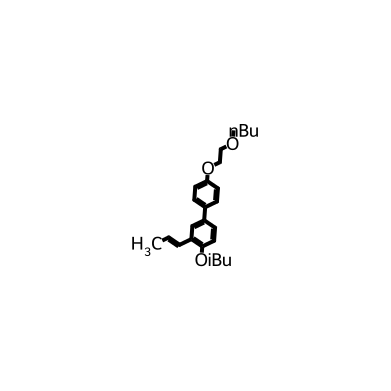 C/C=C/c1cc(-c2ccc(OCCOCCCC)cc2)ccc1OCC(C)C